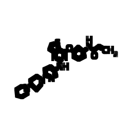 C=CC(=O)Nc1cccc(Oc2nc(Nc3ccc(N4CCC(N5CCCCC5)CC4)nc3)nc3ccsc23)c1